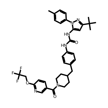 Cc1ccc(-n2nc(C(C)(C)C)cc2NC(=O)Nc2ccc(CC3CCN(C(=O)c4ccc(OCC(F)(F)F)nc4)CC3)cc2)cc1